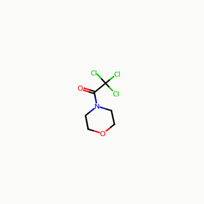 O=C(N1CCOCC1)C(Cl)(Cl)Cl